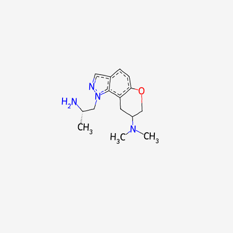 C[C@H](N)Cn1ncc2ccc3c(c21)CC(N(C)C)CO3